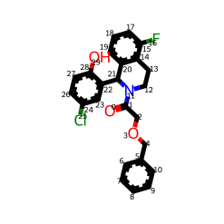 O=C(COCc1ccccc1)N1CCc2c(F)cccc2C1c1cc(Cl)ccc1O